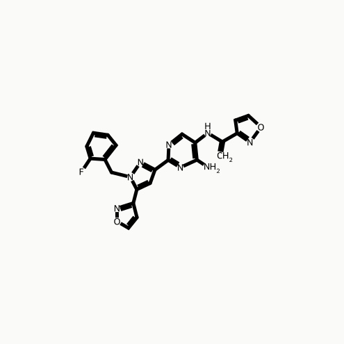 C=C(Nc1cnc(-c2cc(-c3ccon3)n(Cc3ccccc3F)n2)nc1N)c1ccon1